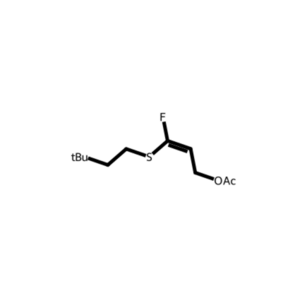 CC(=O)OCC=C(F)SCCC(C)(C)C